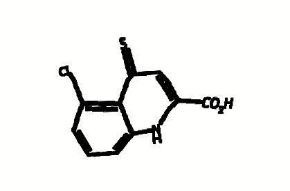 O=C(O)c1cc(=S)c2c(Cl)cccc2[nH]1